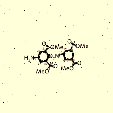 COC(=O)c1cc(C(=O)OC)cc([N+](=O)[O-])c1.COC(=O)c1cc(N)cc(C(=O)OC)c1